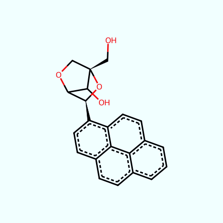 OC[C@]12COC(C1O)[C@H](c1ccc3ccc4cccc5ccc1c3c45)O2